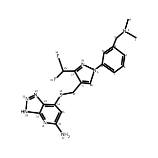 CN(C)Cc1cccc(-n2cc(CSc3cc(N)nc4[nH]nnc34)c(C(F)F)n2)c1